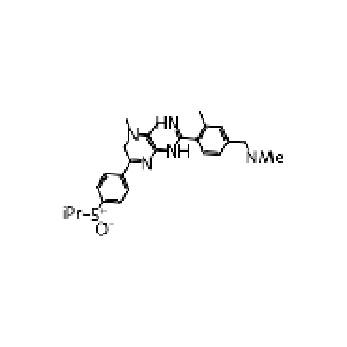 CNCc1ccc(C(=N)NC2=C(C)N(C)CC(c3ccc([S+]([O-])C(C)C)cc3)=N2)c(C)c1